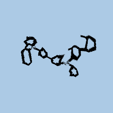 CC1CC(C2C=CC=CC2C)=CC=C1N(c1ccccc1)c1ccc(-c2ccc(-n3c4ccccc4c4ccccc43)cc2)cc1